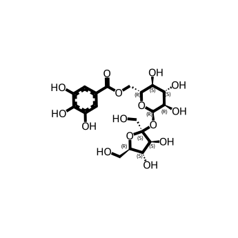 O=C(OC[C@H]1O[C@H](O[C@]2(CO)O[C@H](CO)[C@@H](O)[C@@H]2O)[C@H](O)[C@@H](O)[C@@H]1O)c1cc(O)c(O)c(O)c1